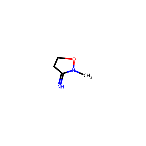 CN1OCCC1=N